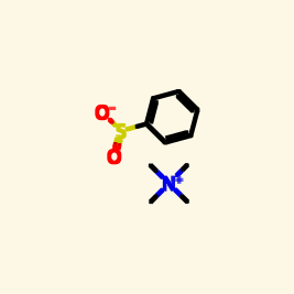 C[N+](C)(C)C.O=S([O-])c1ccccc1